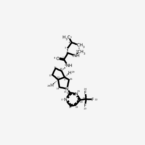 CN[C@@H](CC(C)C)C(=O)N[C@H]1CC[C@@H]2CN(c3nccc(C(F)(F)F)n3)C[C@@H]21